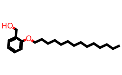 CCCCCCCCCCCCCCOc1ccccc1CO